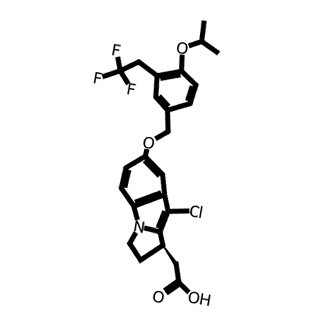 CC(C)Oc1ccc(COc2ccc3c(c2)c(Cl)c2n3CC[C@@H]2CC(=O)O)cc1CC(F)(F)F